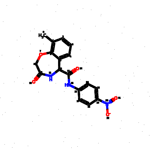 Cc1cccc2c1OCC(=O)NC2C(=O)Nc1ccc([N+](=O)[O-])cc1